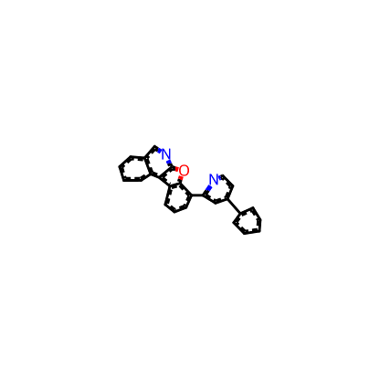 c1ccc(-c2ccnc(-c3cccc4c3oc3ncc5ccccc5c34)c2)cc1